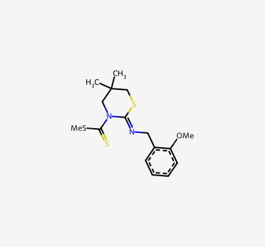 COc1ccccc1C/N=C1\SCC(C)(C)CN1C(=S)SC